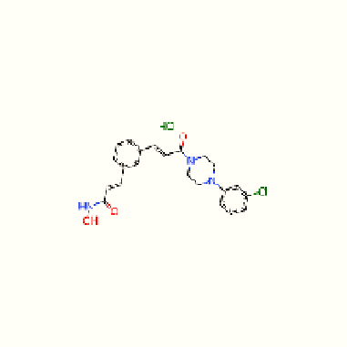 Cl.O=C(/C=C/c1cccc(/C=C/C(=O)N2CCN(c3cccc(Cl)c3)CC2)c1)NO